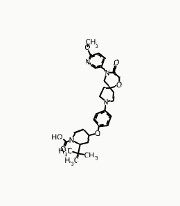 COc1ccc(N2CC3(CCN(c4ccc(OC5CCN(C(=O)O)C(C(C)(C)C)C5)cc4)CC3)OCC2=O)cn1